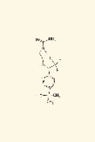 CC(C)(C)c1ccc(C(NC2CN(C(=N)N)C2)C(F)(F)F)cc1